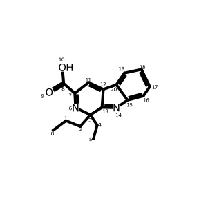 CCCC1(CC)N=C(C(=O)O)C=C2C1=Nc1ccccc12